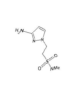 CNS(=O)(=O)CCn1ccc(N)n1